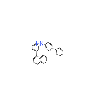 c1ccc(-c2ccc(Nc3cccc(-c4cccc5ccccc45)c3)cc2)cc1